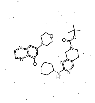 CC(C)(C)OC(=O)N1CCc2cnc(N[C@H]3CC[C@@H](Oc4cc(N5CCOCC5)cc5nccnc45)CC3)nc2C1